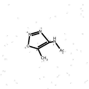 [CH2]C(=O)Nc1nnoc1C